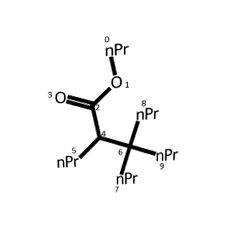 CCCOC(=O)C(CCC)C(CCC)(CCC)CCC